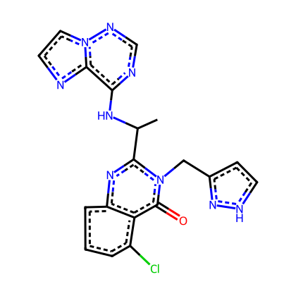 CC(Nc1ncnn2ccnc12)c1nc2cccc(Cl)c2c(=O)n1Cc1cc[nH]n1